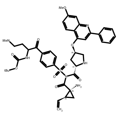 C=C[C@@H]1C[C@]1(N)C(=O)N(C(=O)[C@@H]1C[C@@H](Oc2cc(-c3ccccc3)nc3cc(OC)ccc23)CN1)S(=O)(=O)c1ccc(C(=O)C(CCNC)NC(=O)OC(C)(C)C)cc1